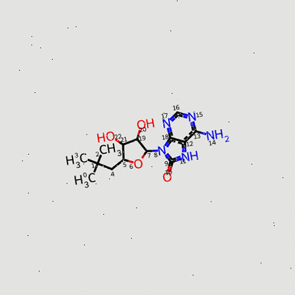 CC(C)(C)CC1OC(n2c(=O)[nH]c3c(N)ncnc32)C(O)C1O